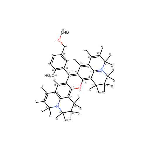 CC1=C(C)C(C)(C)N2c3c1c(C)c1c(c3C(C)(C)C(C)(C)C2(C)C)Oc2c3c4c(c(C)c2=C1c1cc(COC=O)ccc1C(=O)O)C(C)=C(C)C(C)(C)[N+]=4C(C)(C)C(C)(C)C3(C)C